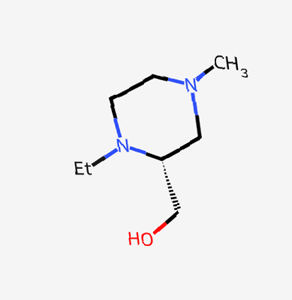 CCN1CCN(C)C[C@@H]1CO